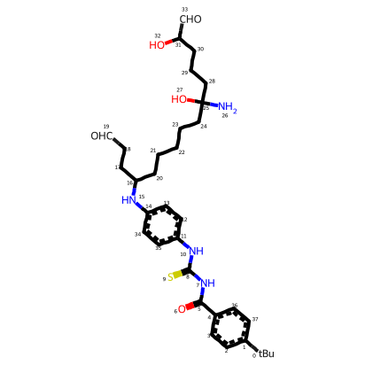 CC(C)(C)c1ccc(C(=O)NC(=S)Nc2ccc(NC(CCC=O)CCCCCC(N)(O)CCCC(O)C=O)cc2)cc1